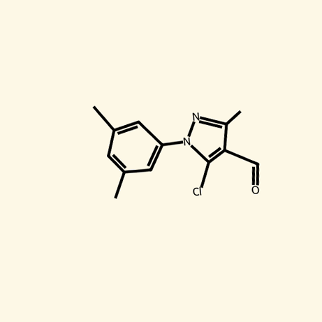 Cc1cc(C)cc(-n2nc(C)c(C=O)c2Cl)c1